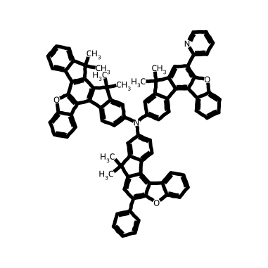 CC1(C)c2cc(N(c3ccc4c(c3)C(C)(C)c3cc(-c5ccccn5)c5oc6ccccc6c5c3-4)c3ccc4c(c3)C(C)(C)c3c5c(c6oc7ccccc7c6c3-4)-c3ccccc3C5(C)C)ccc2-c2c1cc(-c1ccccc1)c1oc3ccccc3c21